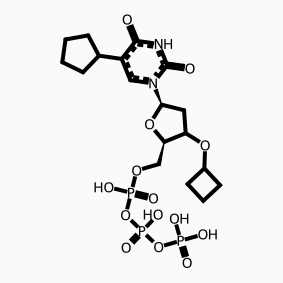 O=c1[nH]c(=O)n([C@H]2CC(OC3CCC3)[C@@H](COP(=O)(O)OP(=O)(O)OP(=O)(O)O)O2)cc1C1CCCC1